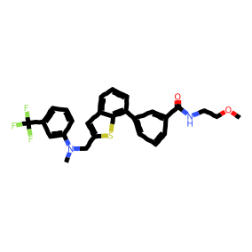 COCCNC(=O)c1cccc(-c2cccc3cc(CN(C)c4cccc(C(F)(F)F)c4)sc23)c1